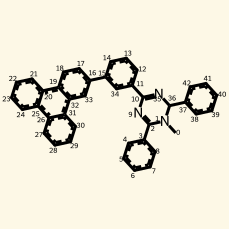 CN1C(c2ccccc2)=NC(c2cccc(-c3ccc4c5ccccc5c5ccccc5c4c3)c2)=NC1c1ccccc1